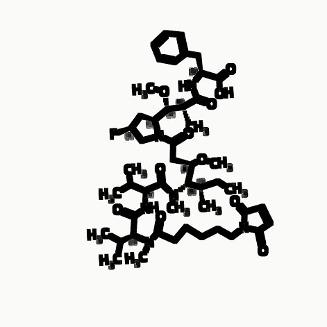 CC[C@H](C)[C@@H]([C@@H](CC(=O)N1C[C@@H](F)C[C@H]1[C@H](OC)[C@@H](C)C(=O)N[C@@H](Cc1ccccc1)C(=O)O)OC)N(C)C(=O)[C@@H](NC(=O)[C@H](C(C)C)N(C)C(=O)CCCCCN1C(=O)C=CC1=O)C(C)C